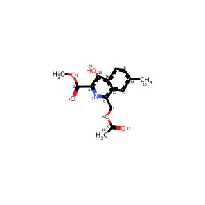 COC(=O)c1nc(COC(C)=O)c2cc(C)ccc2c1O